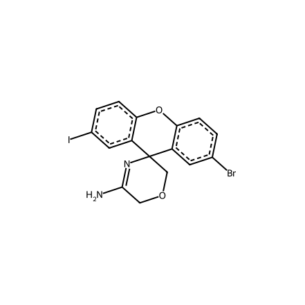 NC1=NC2(COC1)c1cc(Br)ccc1Oc1ccc(I)cc12